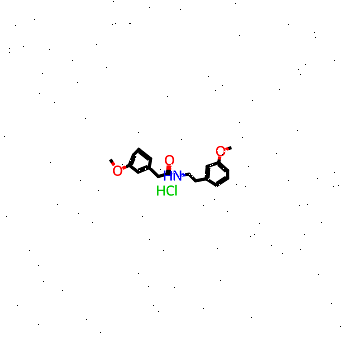 COc1cccc(CCNC(=O)Cc2cccc(OC)c2)c1.Cl